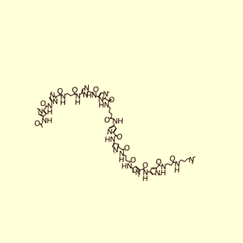 CC(=O)Nc1cc(C(=O)Nc2cn(C)c(C(=O)NCCC(=O)Nc3cn(C)c(C(=O)Nc4cn(C)c(C(=O)NCCCC(=O)Nc5cc(C(=O)Nc6cc(C(=O)NCCC(=O)Nc7cc(C(=O)Nc8cc(C(=O)NCCC(=O)NCCCN(C)C)n(C)c8)n(C)c7)n(C)c6)n(C)c5)n4)n3)n2)n(C)c1